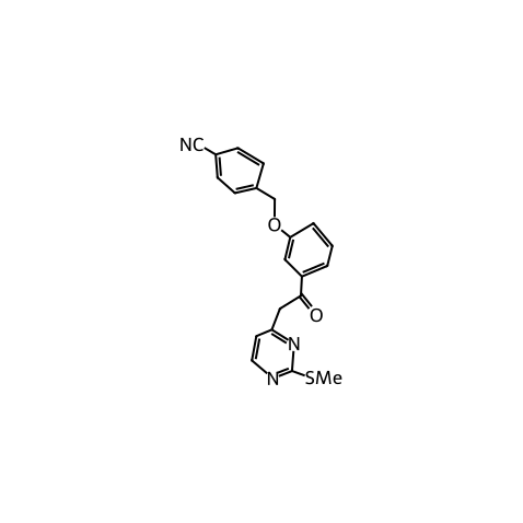 CSc1nccc(CC(=O)c2cccc(OCc3ccc(C#N)cc3)c2)n1